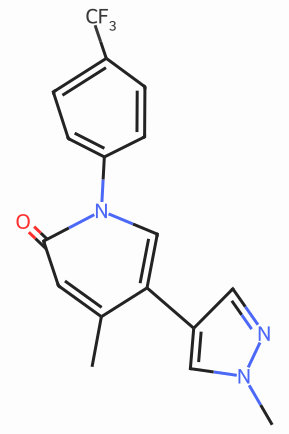 Cc1cc(=O)n(-c2ccc(C(F)(F)F)cc2)cc1-c1cnn(C)c1